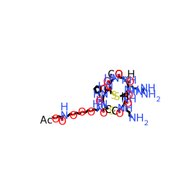 CC(=O)COCC(=O)NCCOCCOCCOCCNC(=O)[C@@H]1CSCC(=O)N[C@@H](CCCCN)C(=O)N[C@H]2CSSC[C@H](NC(=O)[C@H](CC(=O)O)NC(=O)CNC(=O)[C@H](CCCNC(=N)N)NC2=O)C(=O)N[C@@H](Cc2ccccc2)C(=O)N1